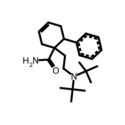 CC(C)(C)N(CCC1(C(N)=O)CC=CCC1c1ccccc1)C(C)(C)C